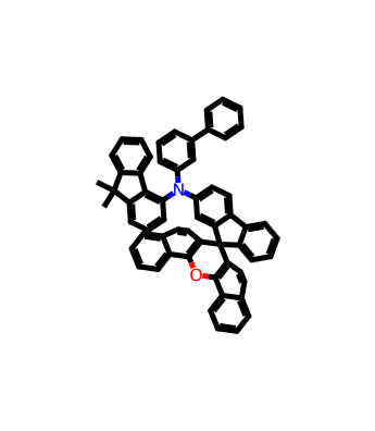 CC1(C)c2ccccc2-c2c(N(c3cccc(-c4ccccc4)c3)c3ccc4c(c3)C3(c5ccccc5-4)c4ccc5ccccc5c4Oc4c3ccc3ccccc43)cccc21